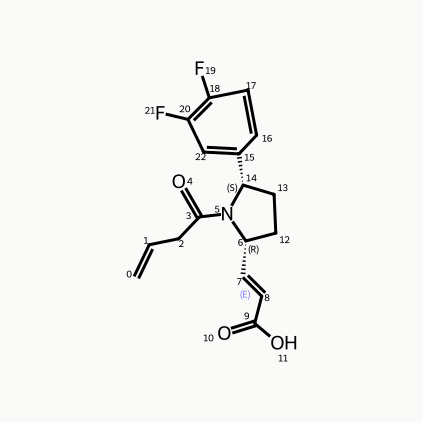 C=CCC(=O)N1[C@@H](/C=C/C(=O)O)CC[C@H]1c1ccc(F)c(F)c1